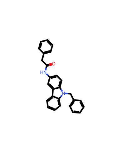 O=C(Cc1ccccc1)Nc1ccc2c(c1)c1ccccc1n2Cc1ccccc1